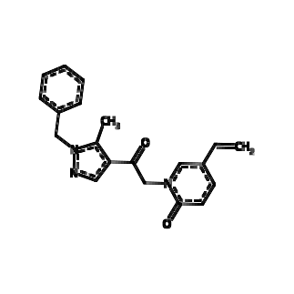 C=Cc1ccc(=O)n(CC(=O)c2cnn(Cc3ccccc3)c2C)c1